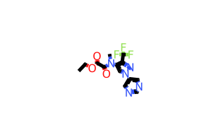 CCOC(=O)C(=O)N(C)c1cn(-c2cncnc2)nc1C(F)(F)F